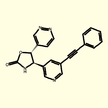 O=C1N[C@H](c2cncc(C#Cc3ccccc3)c2)[C@@H](c2ccnnc2)O1